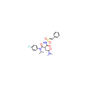 CC(C)N(C(=O)C(CC(=O)N(C)C)C(=O)NS(=O)(=O)/C=C/c1ccccc1)c1ccc(F)cc1